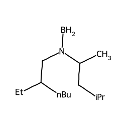 BN(CC(CC)CCCC)C(C)CC(C)C